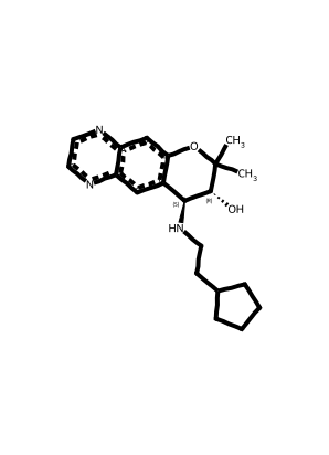 CC1(C)Oc2cc3nccnc3cc2[C@H](NCCC2CCCC2)[C@H]1O